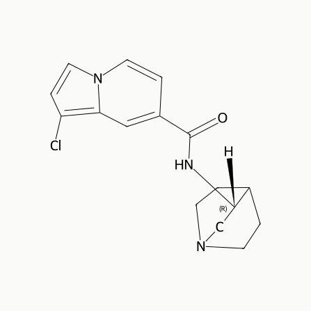 O=C(N[C@H]1CN2CCC1CC2)c1ccn2ccc(Cl)c2c1